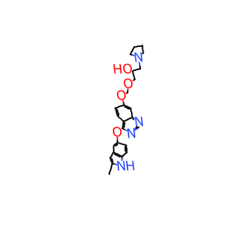 Cc1cc2cc(Oc3ncnc4cc(OCOCC(O)CN5CCCC5)ccc34)ccc2[nH]1